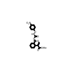 CO/C=C(/C(=O)OC)c1ccccc1COC(=O)NOc1ccc([N+](=O)[O-])cc1